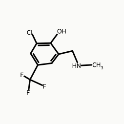 CNCc1cc(C(F)(F)F)cc(Cl)c1O